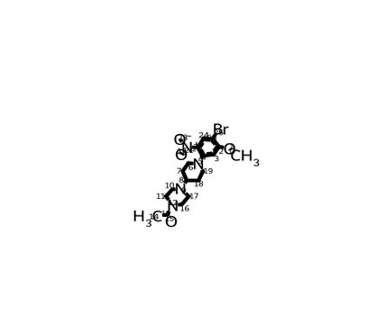 COc1cc(N2CCC(N3CCN(C(C)=O)CC3)CC2)c([N+](=O)[O-])cc1Br